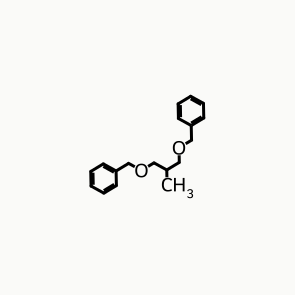 CC(COCc1ccccc1)COCc1ccccc1